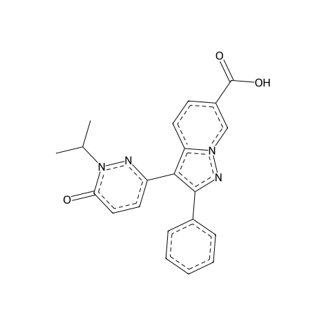 CC(C)n1nc(-c2c(-c3ccccc3)nn3cc(C(=O)O)ccc23)ccc1=O